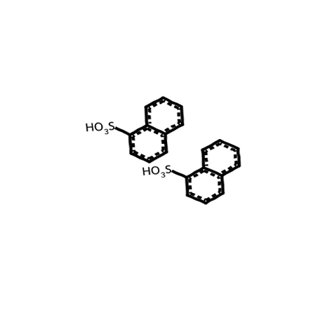 O=S(=O)(O)c1cccc2ccccc12.O=S(=O)(O)c1cccc2ccccc12